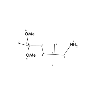 CO[Si](C)(CCC(C)(C)CN)OC